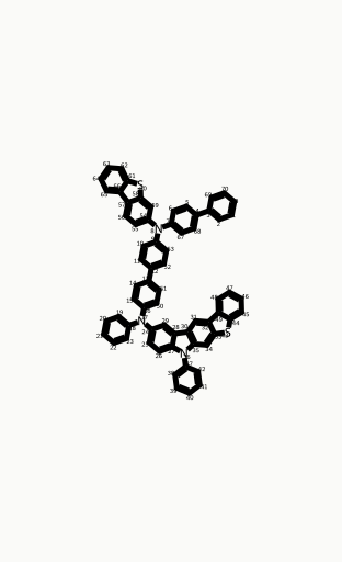 c1ccc(-c2ccc(N(c3ccc(-c4ccc(N(c5ccccc5)c5ccc6c(c5)c5cc7c(cc5n6-c5ccccc5)sc5ccccc57)cc4)cc3)c3ccc4c(c3)sc3ccccc34)cc2)cc1